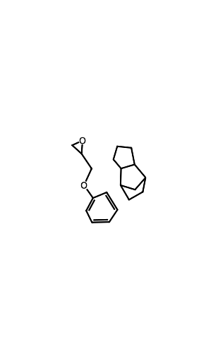 C1CC2C3CCC(C3)C2C1.c1ccc(OCC2CO2)cc1